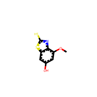 COc1cc(O)cc2sc(S)nc12